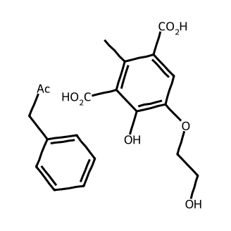 CC(=O)Cc1ccccc1.Cc1c(C(=O)O)cc(OCCO)c(O)c1C(=O)O